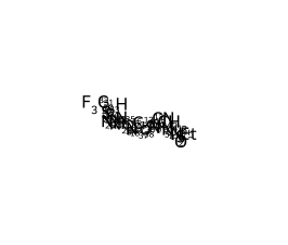 CC[S+]([O-])N1CCN(C(C)Cn2c(C#N)cc3c(C)c(CN4CCC(Nc5ncnc6sc(CC(F)(F)F)cc56)CC4)ccc32)CC1